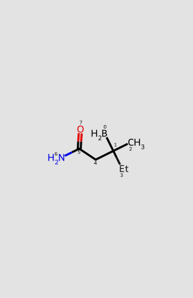 BC(C)(CC)CC(N)=O